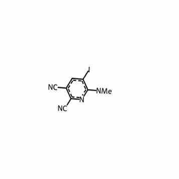 CNc1nc(C#N)c(C#N)cc1I